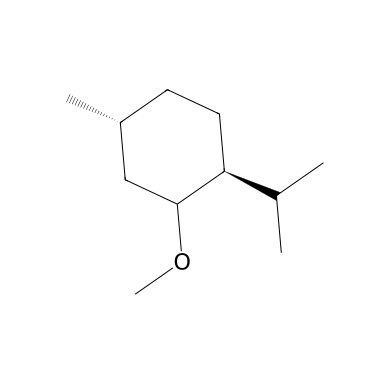 COC1C[C@H](C)CC[C@H]1C(C)C